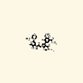 COc1c(O)c(C(N)=O)cc(-c2cn(CC(=O)Nc3cc(N4CCOC[C@@H]4C)nc(F)c3Cl)c3ncn(C)c(=O)c23)c1F